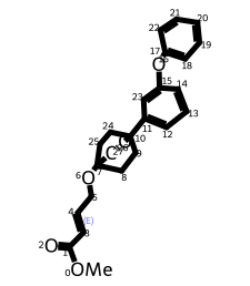 COC(=O)/C=C/COC12CCC(c3cccc(Oc4ccccc4)c3)(CC1)OC2